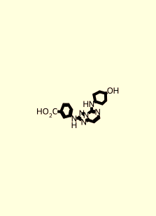 O=C(O)c1cccc(Nc2nc3ccnc(NC4CCC(O)CC4)n3n2)c1